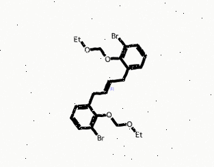 CCOCOc1c(Br)cccc1C/C=C/Cc1cccc(Br)c1OCOCC